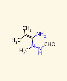 CC(C)=C(N)N(C)NC=O